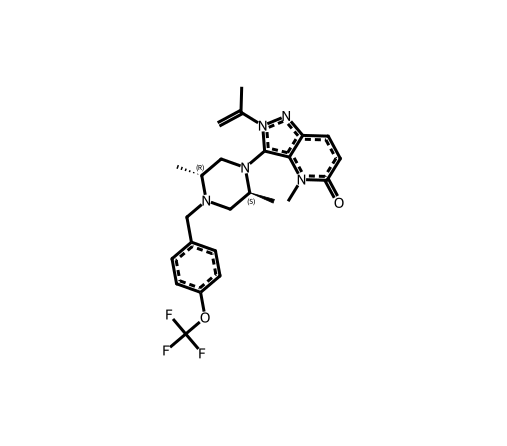 C=C(C)n1nc2ccc(=O)n(C)c2c1N1C[C@@H](C)N(Cc2ccc(OC(F)(F)F)cc2)C[C@@H]1C